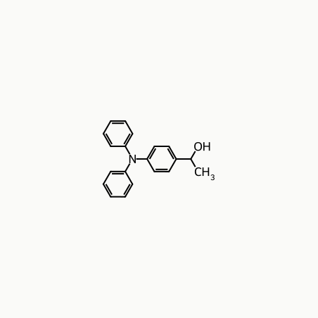 CC(O)c1ccc(N(c2ccccc2)c2ccccc2)cc1